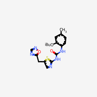 Cc1ccc(NC(=O)Nc2ncc(Cc3ncno3)s2)c(OCC(C)C)c1